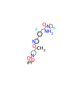 CC(C)OC(=O)N1CCC(C(C)Oc2ccc(-c3ccc(CC(N)C(=O)N4CCC(F)C4)c(F)c3)cn2)CC1